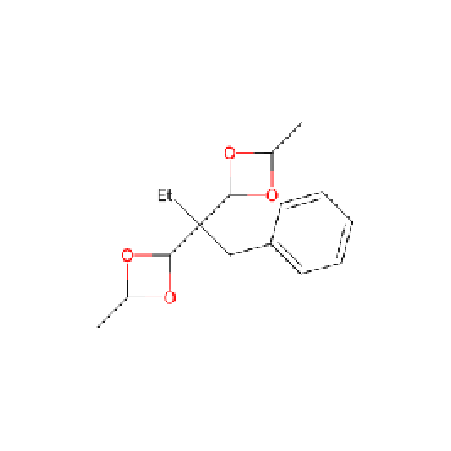 CCC(Cc1ccccc1)(C1OC(C)O1)C1OC(C)O1